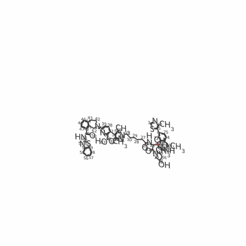 Cc1ncsc1-c1ccc([C@H](C)NC(=O)[C@@H]2C[C@@H](O)CN2C(=O)[C@@H](NC(=O)CCCCCn2nc(C)c(-c3ccc(N4CCc5cccc(C(=O)Nc6nc7ccccc7s6)c5C4)nc3C(=O)O)c2C)C(C)(C)C)cc1